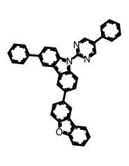 c1ccc(-c2cnc(-n3c4ccc(-c5ccccc5)cc4c4cc(-c5ccc6oc7ccccc7c6c5)ccc43)nc2)cc1